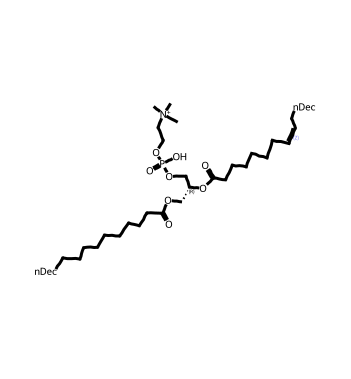 CCCCCCCCCCC/C=C\CCCCCCC(=O)O[C@H](COC(=O)CCCCCCCCCCCCCCCCCCC)COP(=O)(O)OCC[N+](C)(C)C